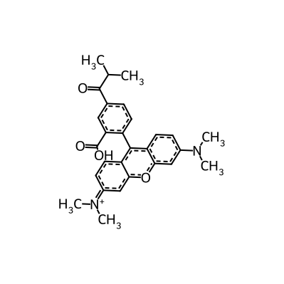 CC(C)C(=O)c1ccc(-c2c3ccc(=[N+](C)C)cc-3oc3cc(N(C)C)ccc23)c(C(=O)O)c1